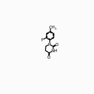 Cc1ccc(N2CCC(=O)NC2=O)c(F)c1